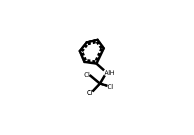 Cl[C](Cl)(Cl)[AlH][c]1ccccc1